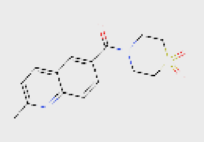 Cc1ccc2cc(C(=O)N3CCS(=O)(=O)CC3)ccc2n1